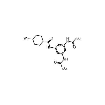 CCC(C)C(=O)Nc1cc(NC(=O)C(C)CC)cc(NC(=O)[C@H]2CC[C@@H](C(C)C)CC2)c1